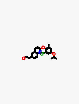 Cc1cc(OC(C)C)cc(Cl)c1Oc1ccc2cc(CC=O)ccc2n1